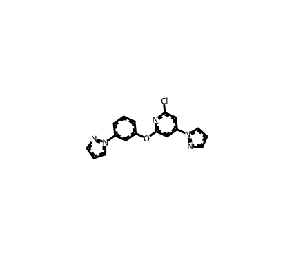 Clc1cc(-n2cccn2)cc(Oc2cccc(-n3cccn3)c2)n1